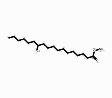 CCCCCCC(O)CCCCCCCCCCC(=O)ON